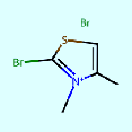 Cc1csc(Br)[n+]1C.[Br-]